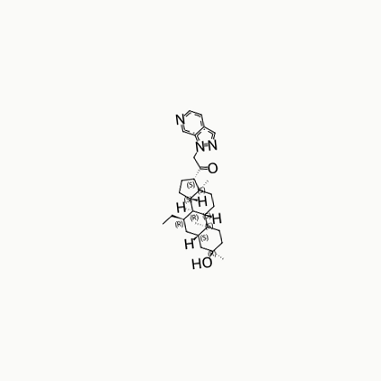 CC[C@@H]1C[C@H]2C[C@](C)(O)CC[C@]2(C)[C@H]2CC[C@]3(C)[C@@H](C(=O)Cn4ncc5ccncc54)CC[C@H]3[C@H]12